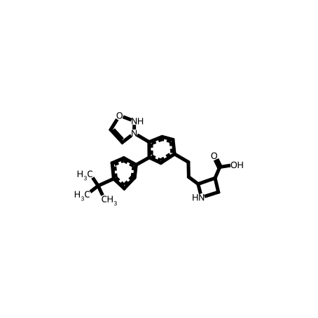 CC(C)(C)c1ccc(-c2cc(CCC3NCC3C(=O)O)ccc2N2C=CON2)cc1